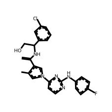 C=C(NC(CO)c1cccc(Cl)c1)c1cn(-c2ccnc(Nc3ccc(F)cc3)n2)cc1C